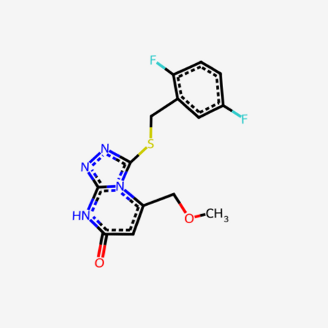 COCc1cc(=O)[nH]c2nnc(SCc3cc(F)ccc3F)n12